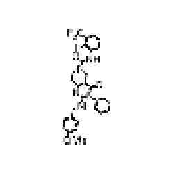 COc1ccc(CNc2nc3c(c(=O)n2-c2ccccc2)CN(C(=O)Nc2cccc(C(F)(F)F)c2F)CC3)cc1